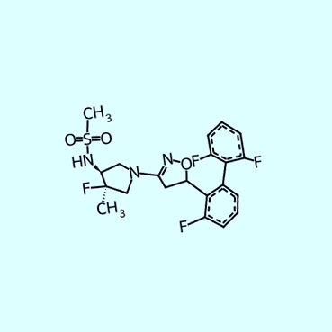 C[C@@]1(F)CN(C2=NOC(c3c(F)cccc3-c3c(F)cccc3F)C2)C[C@@H]1NS(C)(=O)=O